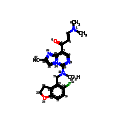 CN(C)/C=C/C(=O)c1cnc(N(Cc2c(F)ccc3c2CCO3)C(=O)O)n2cc(C#N)nc12